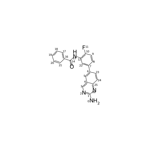 Nc1ncc2cc(-c3ccc(F)c(NC(=O)c4ccccc4)c3)ccc2n1